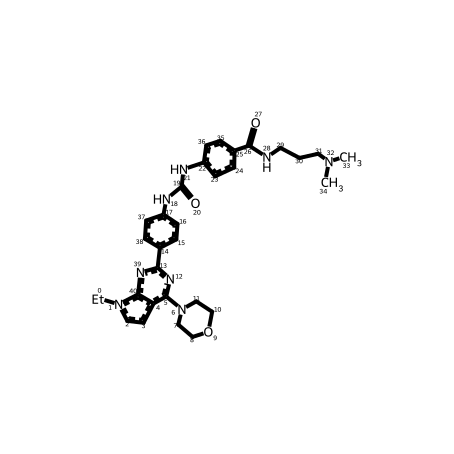 CCn1ccc2c(N3CCOCC3)nc(-c3ccc(NC(=O)Nc4ccc(C(=O)NCCCN(C)C)cc4)cc3)nc21